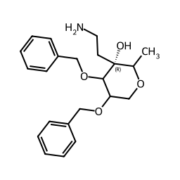 CC1OCC(OCc2ccccc2)C(OCc2ccccc2)[C@@]1(O)CCN